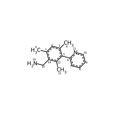 Cc1cc(C)c(-c2ccccn2)c(C)c1CN